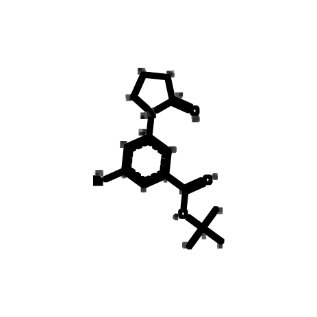 CC(C)(C)OC(=O)c1cc(Br)cc(N2CCCC2=O)c1